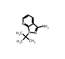 CC(C)(C)n1nc(N)c2cccnc21